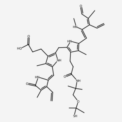 C=CC1=C(C)C(=O)N/C1=C\c1[nH]c(Cc2[nH]c(/C=C(NC)/C(C=C)=C(/C)C=O)c(C)c2CCC(=O)NC(C)(C)COC(C)(C)S)c(CCC(=O)O)c1C